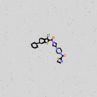 O=C(c1nccs1)N1CCN(C2CN(C(=O)c3sc4c(c3Cl)=CCC(c3ccccc3)C=4)C2)CC1